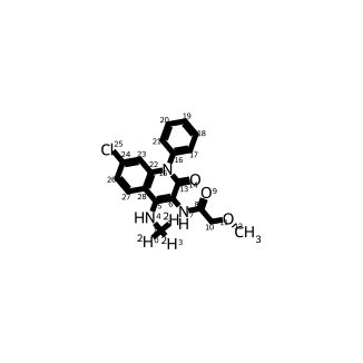 [2H]C([2H])([2H])Nc1c(NC(=O)COC)c(=O)n(-c2ccccc2)c2cc(Cl)ccc12